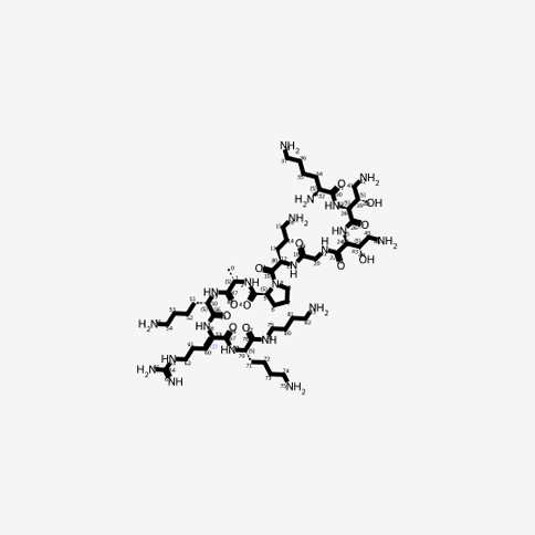 C[C@H](NC(=O)[C@@H]1CCCN1C(=O)[C@@H](CCCN)NC(=O)CNC(=O)[C@@H](NC(=O)[C@@H](NC(=O)[C@@H](N)CCCCN)[C@@H](O)CN)[C@@H](O)CN)C(=O)N[C@@H](CCCCN)C(=O)N/C(=C\CCNC(=N)N)C(=O)N[C@@H](CCCCN)C(=O)NCCCCN